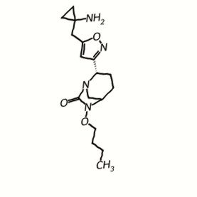 CCCCON1C(=O)N2CC1CC[C@H]2c1cc(CC2(N)CC2)on1